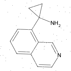 NC1(c2cccc3ccncc23)CC1